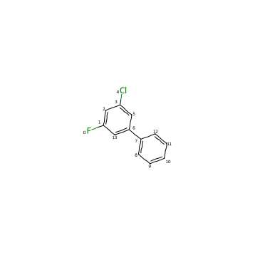 Fc1cc(Cl)cc(-c2ccccc2)c1